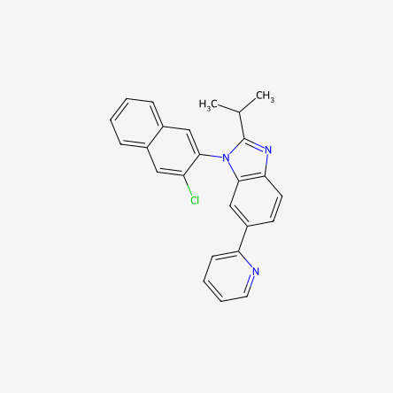 CC(C)c1nc2ccc(-c3ccccn3)cc2n1-c1cc2ccccc2cc1Cl